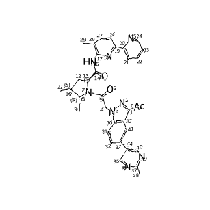 CC(=O)c1nn(CC(=O)N2[C@H](I)[C@@H](C)C[C@H]2C(=O)Nc2nc(-c3ccccn3)ccc2C)c2ccc(-c3cnc(C)nc3)cc12